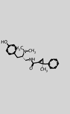 CN(C)[C@H](CNC(=O)C1=C[C@@]1(C)c1ccccc1)Cc1ccc(O)cc1